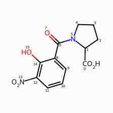 O=C(O)C1CCCN1C(=O)c1cccc([N+](=O)[O-])c1O